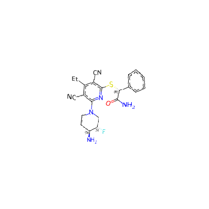 CCc1c(C#N)c(S[C@@H](C(N)=O)c2ccccc2)nc(N2CC[C@H](N)[C@@H](F)C2)c1C#N